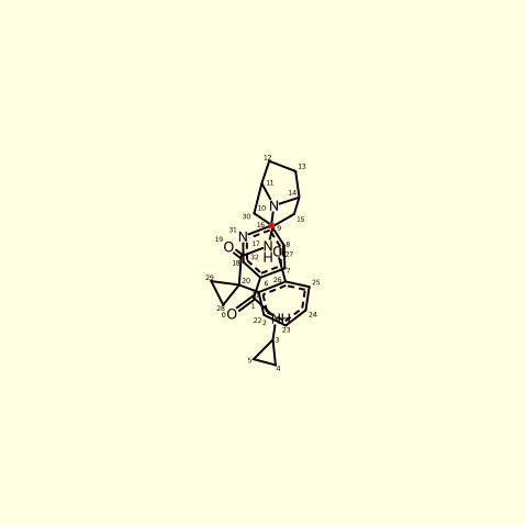 O=C(NC1CC1)c1ccc(N2C3CCC2CC(NC(=O)C2(c4ccccc4Cl)CC2)C3)nc1